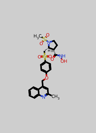 Cc1cc(COc2ccc(S(=O)(=O)C[C@H]3[C@@H](C(=O)NO)CCN3S(C)(=O)=O)cc2)c2ccccc2n1